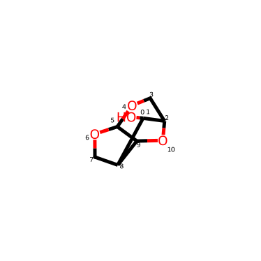 OC1C2COC3OCC1C3O2